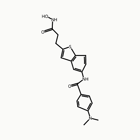 CN(C)c1ccc(C(=O)Nc2ccc3sc(CCC(=O)NO)cc3c2)cc1